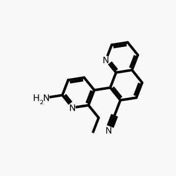 CCc1nc(N)ccc1-c1c(C#N)ccc2cccnc12